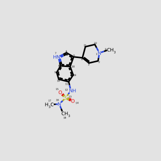 CN1CC=C(c2c[nH]c3ccc(NS(=O)(=O)N(C)C)cc23)CC1